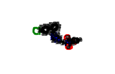 O=C1C2C3C=CC(C4CC34)C2C(=O)N1CCCN1CCN(Cc2ccccc2-c2ccc(Cl)cc2)CC1